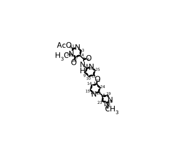 CC(=O)Oc1ncc(C(=O)Nc2ccc(Oc3ccnc(-c4cnn(C)c4)c3)cn2)c(=O)n1C